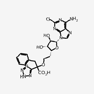 Nc1nc(Cl)nc2c1ncn2[C@@H]1O[C@H](CCOC(Cc2ccccc2)(C(=O)O)c2nn[nH]n2)[C@H](O)[C@H]1O